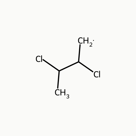 [CH2]C(Cl)C(C)Cl